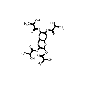 CC(O)C(=O)OC1OC2OC(OC(=O)C(C)O)C(OC(=O)C(C)O)OC2OC1OC(=O)C(C)O